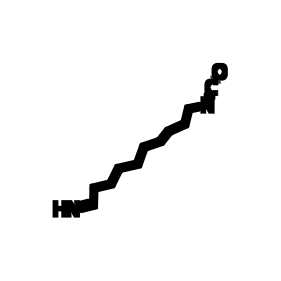 N=CCCCCCCCCCN=C=O